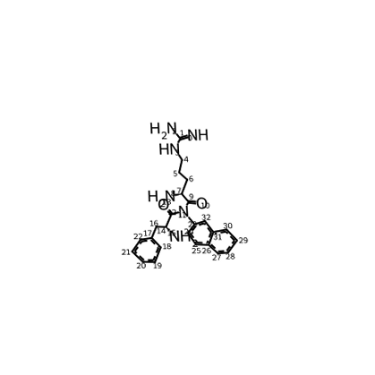 N=C(N)NCCC[C@H](N)C(=O)N(C(=O)[C@@H](N)Cc1ccccc1)c1ccc2ccccc2c1